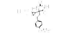 COc1ccc(CCC2(C3CC3C(=O)O)NC(=O)NC2=O)cc1